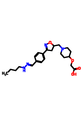 CCCCNN=Cc1ccc(C2=NOC(CN3CCC(OCC(=O)O)CC3)C2)cc1